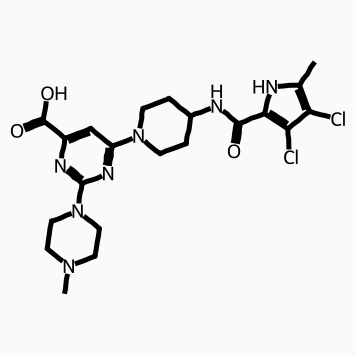 Cc1[nH]c(C(=O)NC2CCN(c3cc(C(=O)O)nc(N4CCN(C)CC4)n3)CC2)c(Cl)c1Cl